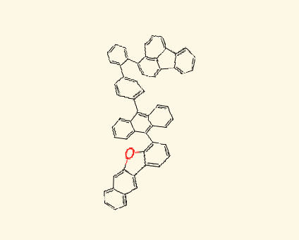 c1ccc(-c2ccc3c4c(cccc24)-c2ccccc2-3)c(-c2ccc(-c3c4ccccc4c(-c4cccc5c4oc4cc6ccccc6cc45)c4ccccc34)cc2)c1